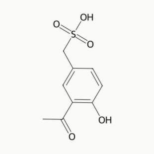 CC(=O)c1cc(CS(=O)(=O)O)ccc1O